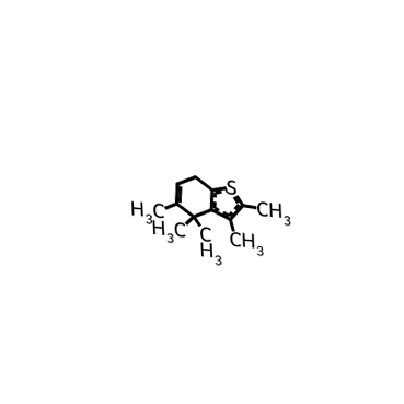 CC1=CCc2sc(C)c(C)c2C1(C)C